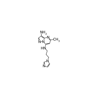 Cc1cc(NCCCn2ccnc2)n2ncc(N)c2n1